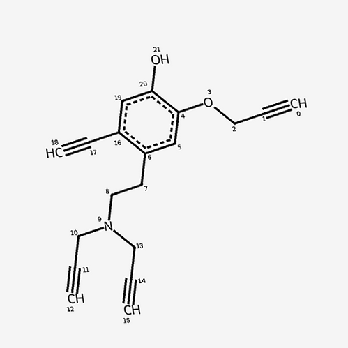 C#CCOc1cc(CCN(CC#C)CC#C)c(C#C)cc1O